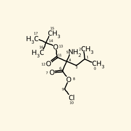 CC(C)CC(N)(C(=O)OCCl)C(=O)OC(C)(C)C